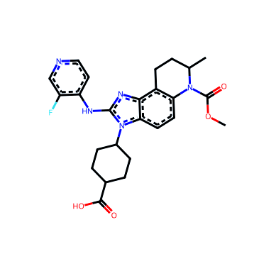 COC(=O)N1c2ccc3c(nc(Nc4ccncc4F)n3C3CCC(C(=O)O)CC3)c2CCC1C